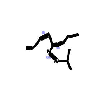 C=C\C=C/C(=C\C=C)/N=N\C(C)C